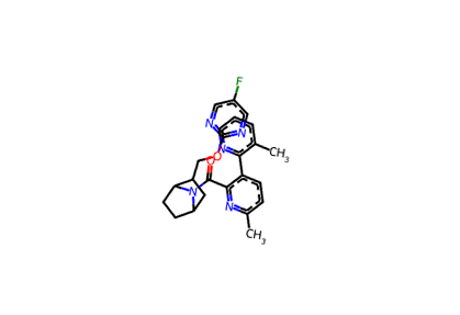 Cc1ccc(-c2ncccc2C)c(C(=O)N2C3CCC2C(COc2ncc(F)cn2)C3)n1